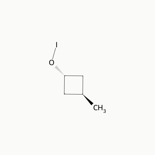 C[C@H]1C[C@H](OI)C1